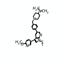 COc1ccc(-c2cn(SI)c3ncc(-c4ccc(CN5CCC(N(C)C)CC5)cc4)cc23)cn1